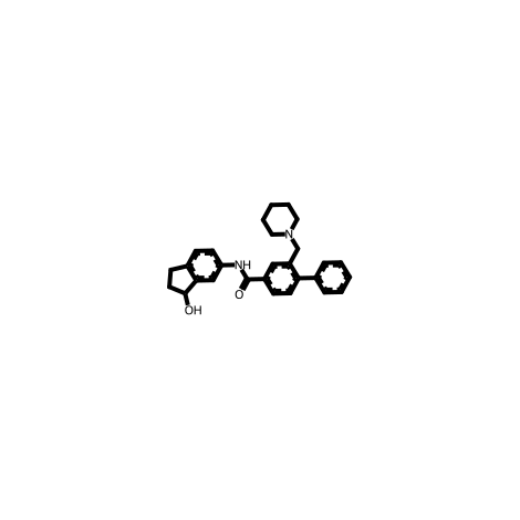 O=C(Nc1ccc2c(c1)C(O)CC2)c1ccc(-c2ccccc2)c(CN2CCCCC2)c1